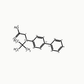 CC(C)(C)N(CC(=O)O)c1ccc(-c2ccccc2)cc1